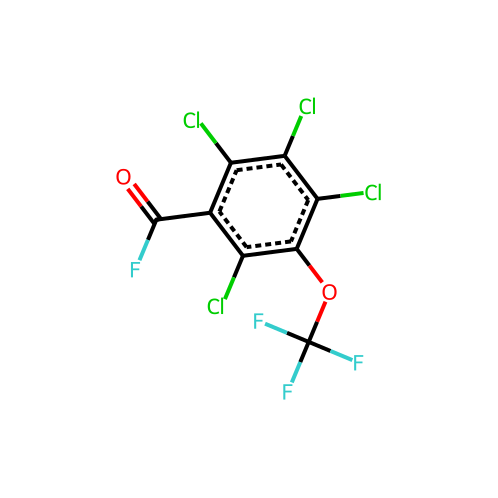 O=C(F)c1c(Cl)c(Cl)c(Cl)c(OC(F)(F)F)c1Cl